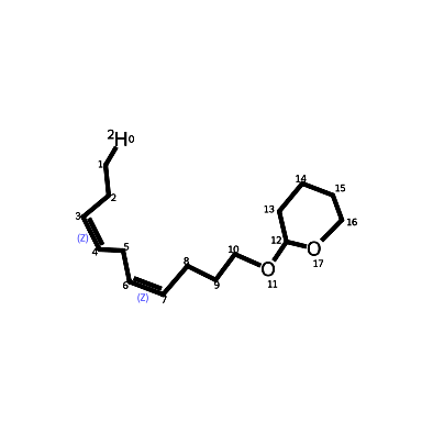 [2H]CC/C=C\C/C=C\CCCOC1CCCCO1